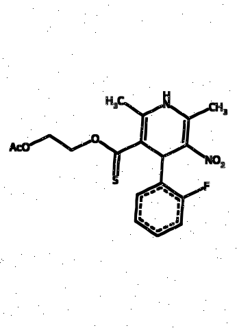 CC(=O)OCCOC(=S)C1=C(C)NC(C)=C([N+](=O)[O-])C1c1ccccc1F